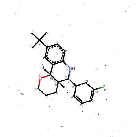 CC(C)(C)c1ccc2c(c1)[C@H]1OCCC[C@H]1[C@H](C1C=CC=C(Cl)C1)N2